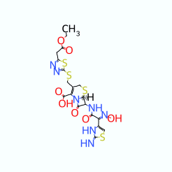 CCOC(=O)Cc1nnc(SCC2=C(C(=O)O)N3C(=O)C(NC(=O)C(=NO)c4csc(=N)[nH]4)[C@@H]3SC2)s1